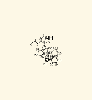 CCCC1CCNCC1OCC(O)(c1cccc2cccc(OC)c12)C1CCCC1